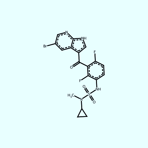 CN(C1CC1)S(=O)(=O)Nc1ccc(F)c(C(=O)c2c[nH]c3ncc(Br)cc23)c1F